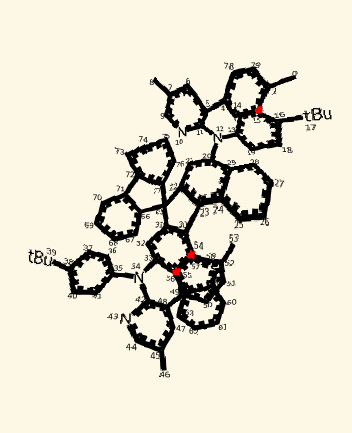 Cc1ccc(-c2cc(C)cnc2N(c2ccc(C(C)(C)C)cc2)c2cc3c(c4ccccc24)-c2c(cc(N(c4ccc(C(C)(C)C)cc4)c4ncc(C)cc4-c4ccc(C)cc4)c4c2oc2ccccc24)C32c3ccccc3-c3ccccc32)cc1